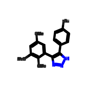 CCCCc1ccc(-c2[nH]nnc2-c2cc(OC)cc(OC)c2OC)cc1